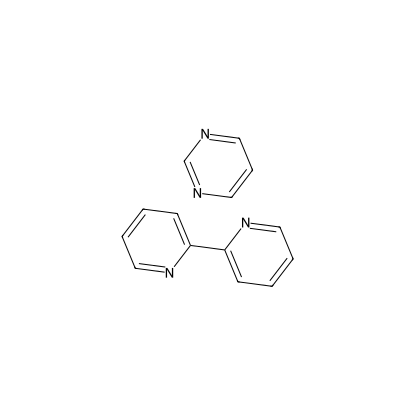 c1ccc(-c2ccccn2)nc1.c1cncnc1